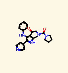 O=C1CN(C(=O)N2CCCC2)Cc2[nH]c(-c3ccncc3)c(Nc3ccccc3)c21